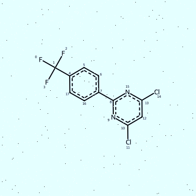 FC(F)(F)c1ccc(-c2nc(Cl)cc(Cl)n2)cc1